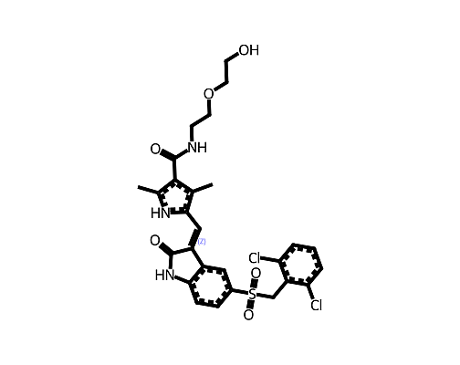 Cc1[nH]c(/C=C2\C(=O)Nc3ccc(S(=O)(=O)Cc4c(Cl)cccc4Cl)cc32)c(C)c1C(=O)NCCOCCO